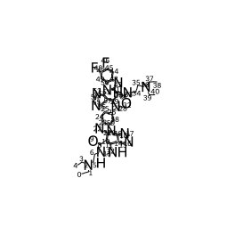 CCN(CC)CCNC(=O)c1c(NC)c2cncnc2n2c1nc1ccc(N(C)c3c(C(=O)NCCN(CC)CC)c4nc5cc(F)c(F)cc5n4c4ncncc34)cc12